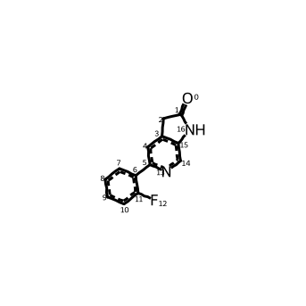 O=C1Cc2cc(-c3ccccc3F)ncc2N1